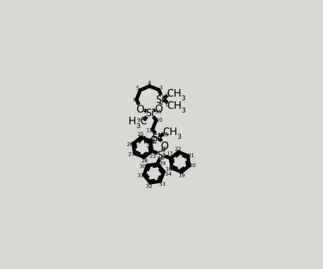 C[Si]1(C)CCCCO[Si](C)(CC[Si](C)(C)O[Si](c2ccccc2)(c2ccccc2)c2ccccc2)O1